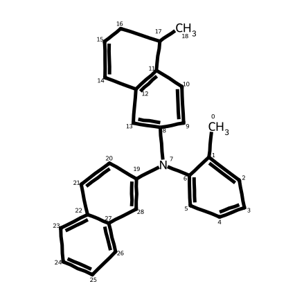 Cc1ccccc1N(c1ccc2c(c1)C=CCC2C)c1ccc2ccccc2c1